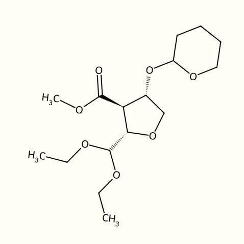 CCOC(OCC)[C@H]1OC[C@@H](OC2CCCCO2)[C@@H]1C(=O)OC